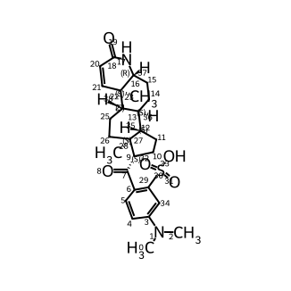 CN(C)c1ccc(C(=O)[C@H]2CC[C@H]3[C@@H]4CC[C@H]5NC(=O)C=C[C@]5(C)[C@H]4CC[C@]23C)c(S(=O)(=O)O)c1